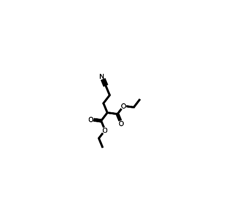 CCOC(=O)C(CCC#N)C(=O)OCC